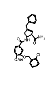 COc1ccc(C(=O)NC2SC(Cc3ccccc3)=CC2C(N)=O)cc1OCc1ccccc1Cl